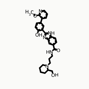 COc1ncccc1-c1ccc(O)c(-c2nc3cc(C(=O)NCCCN4CCCCC4CO)ccc3[nH]2)c1